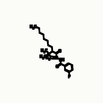 CCCCCCCCC(C(=O)NNC(=O)c1cccc(F)c1)C(C)(C)C